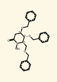 CCCCN1C(=O)C[C@@H](OCc2ccccc2)[C@H](OCc2ccccc2)[C@H]1COCc1ccccc1